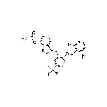 O=C(O)Oc1cccc2c1ccn2Cc1cc(C(F)(F)F)ccc1OCc1c(F)cccc1F